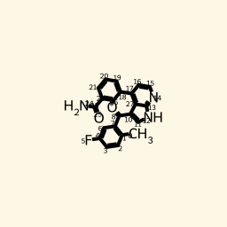 Cc1ccc(F)cc1C(=O)c1c[nH]c2nccc(-c3cccc(C(N)=O)c3)c12